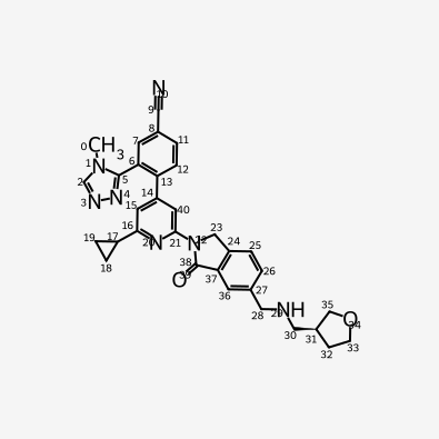 Cn1cnnc1-c1cc(C#N)ccc1-c1cc(C2CC2)nc(N2Cc3ccc(CNC[C@@H]4CCOC4)cc3C2=O)c1